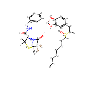 CC1(C)S[C@H]2N(C(=O)C2(Br)Br)[C@H]1C(=O)NCc1ccccc1.CCCCCCCC[S+]([O-])C(C)Cc1ccc2c(c1)OCO2